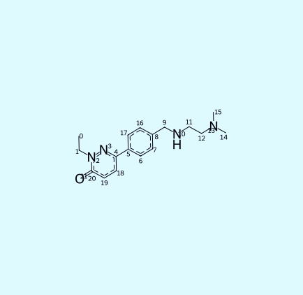 CCn1nc(-c2ccc(CNCCN(C)C)cc2)ccc1=O